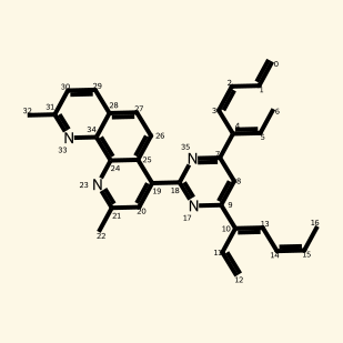 C=C/C=C\C(=C/C)c1cc(/C(C=C)=C/C=C\C)nc(-c2cc(C)nc3c2ccc2ccc(C)nc23)n1